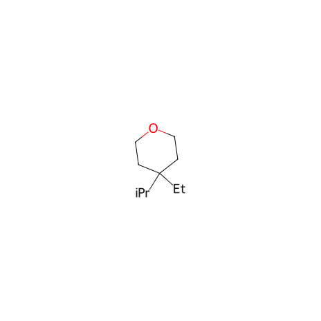 CCC1(C(C)C)CCOCC1